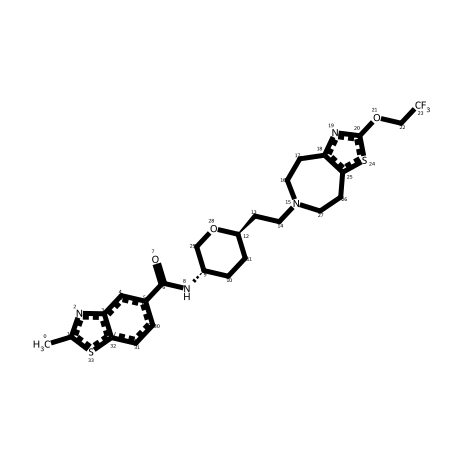 Cc1nc2cc(C(=O)N[C@H]3CC[C@H](CCN4CCc5nc(OCC(F)(F)F)sc5CC4)OC3)ccc2s1